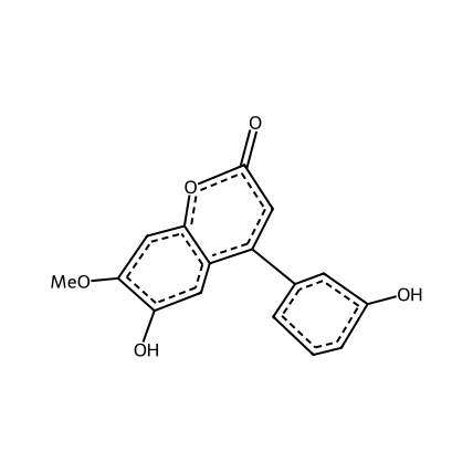 COc1cc2oc(=O)cc(-c3cccc(O)c3)c2cc1O